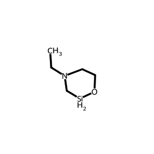 CCN1CCO[SiH2]C1